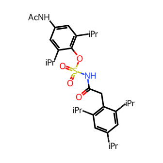 CC(=O)Nc1cc(C(C)C)c(OS(=O)(=O)NC(=O)Cc2c(C(C)C)cc(C(C)C)cc2C(C)C)c(C(C)C)c1